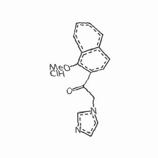 COc1c(C(=O)Cn2ccnc2)ccc2ccccc12.Cl